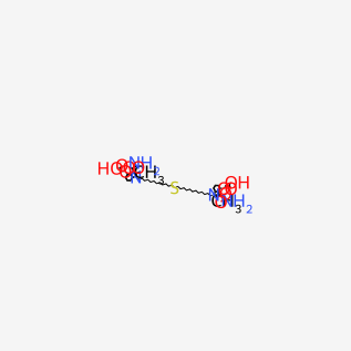 Cc1c(C(=O)C(N)=O)c2c(OCC(=O)O)cccc2n1CCCCCCCCCCCCSCCCCCCCCCCCCn1c(C)c(C(=O)C(N)=O)c2c(OCC(=O)O)cccc21